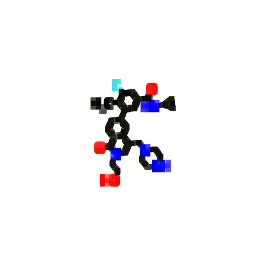 Cc1c(F)cc(C(=O)NC2CC2)cc1-c1ccc2c(=O)n(CCO)cc(CN3CCNCC3)c2c1